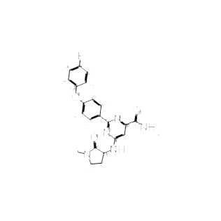 CN1CCC(Nc2cc(C(N)=O)nc(-c3ccc(Oc4ccc(F)cc4)cc3)n2)C1=O